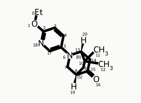 CCOc1ccc(N2C[C@@H]3CC(C)(C)[C@H]2CC3=O)cn1